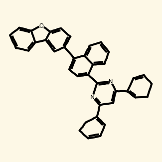 C1=CCCC(c2cc(C3=CCCC=C3)nc(-c3ccc(-c4ccc5oc6ccccc6c5c4)c4ccccc34)n2)=C1